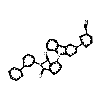 N#Cc1cccc(-c2ccc3c(c2)c2ccccc2n3-c2cccc3c2C(=O)N(c2cccc(-c4ccccc4)c2)C3=O)c1